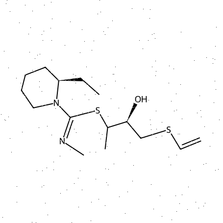 C=CSC[C@H](O)C(C)S/C(=N\C)N1CCCC[C@H]1CC